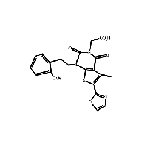 COc1ccccc1CCn1c(=O)n(CC(=O)O)c(=O)c2c(C)c(-c3ncco3)sc21